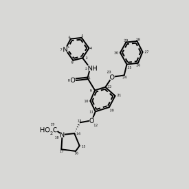 O=C(Nc1cccnc1)c1cc(OC[C@@H]2CCCN2C(=O)O)ccc1OCc1ccccc1